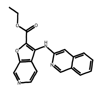 CCOC(=O)c1oc2cnccc2c1Nc1cc2ccccc2cn1